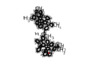 Cc1ccc(N(c2ccc(CCC(C)(C)c3ccc(N(c4ccccc4)c4cc5c(c6c4oc4ccccc46)-c4c(cc(N(c6ccccc6)c6ccc(C(C)(C)C)cc6)c6c4oc4ccccc46)C5(c4ccccc4)c4ccccc4)cc3)cc2)c2cc3c(c4c2oc2ccccc24)-c2c(cc(N(c4ccc(C)cc4)c4ccc(C)cc4)c4c2oc2ccccc24)C3(c2ccccc2)c2ccccc2)cc1